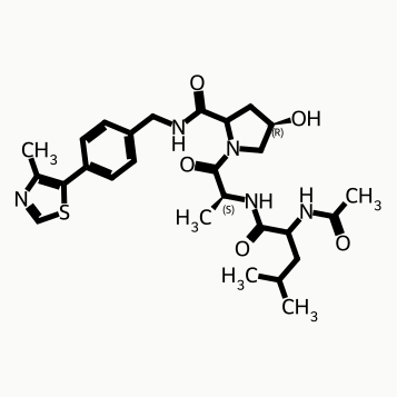 CC(=O)NC(CC(C)C)C(=O)N[C@@H](C)C(=O)N1C[C@H](O)CC1C(=O)NCc1ccc(-c2scnc2C)cc1